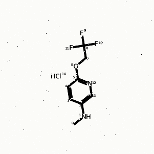 CNc1ccc(OCC(F)(F)F)nc1.Cl